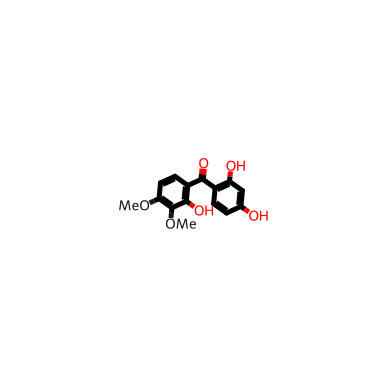 COc1ccc(C(=O)c2ccc(O)cc2O)c(O)c1OC